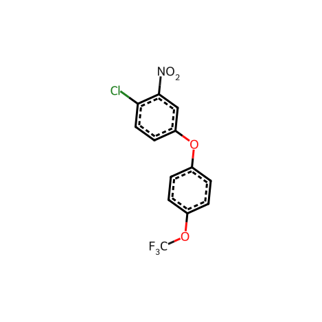 O=[N+]([O-])c1cc(Oc2ccc(OC(F)(F)F)cc2)ccc1Cl